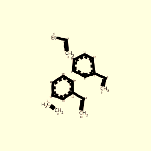 C=C.C=CCC.C=Cc1ccccc1.C=Cc1ccccc1